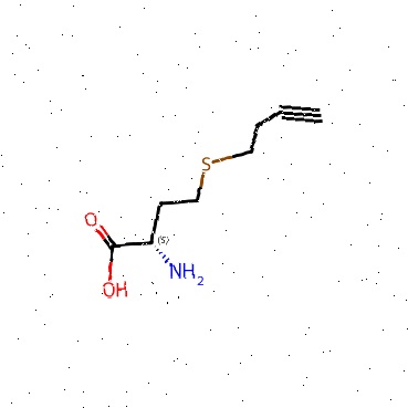 C#CCCSCC[C@H](N)C(=O)O